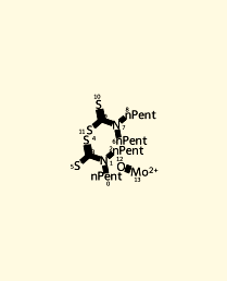 CCCCCN(CCCCC)C(=S)[S-].CCCCCN(CCCCC)C(=S)[S-].[O]=[Mo+2]